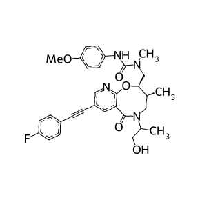 COc1ccc(NC(=O)N(C)C[C@@H]2Oc3ncc(C#Cc4ccc(F)cc4)cc3C(=O)N(C(C)CO)C[C@@H]2C)cc1